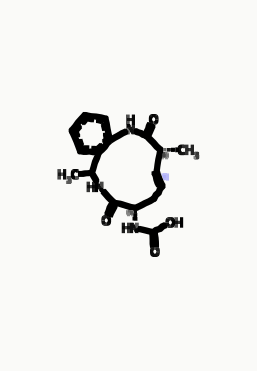 CC1NC(=O)[C@@H](NC(=O)O)C/C=C/[C@@H](C)C(=O)Nc2ccccc21